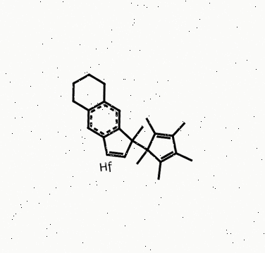 CC1=C(C)C(C)(C2(C)C=Cc3cc4c(cc32)CCCC4)C(C)=C1C.[Hf]